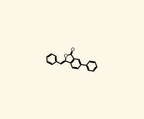 O=C1OC(=Cc2ccccc2)c2ccc(-c3ccccc3)cc21